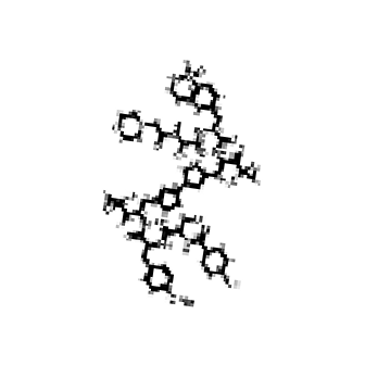 COc1ccc(CC(NC(=O)C(CO)NC(=O)C2CCC(O)CC2)C(=O)NC(CC2=CC(C3CCC(CC(NC(=O)C(Cc4ccc5c(c4)CCNS5(=O)=O)NC(=O)C(C)NC(=O)CN4CCOCC4)C(=O)C4(C)CO4)C3)CC2)C(=O)C2(C)CO2)cc1